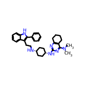 CN(C)c1nc(N[C@H]2CC[C@@H](NCCc3c(-c4ccccc4)[nH]c4ccccc34)CC2)nc2c1CCCC2